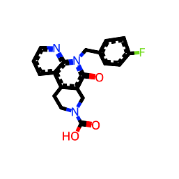 O=C(O)N1CCc2c(c(=O)n(Cc3ccc(F)cc3)c3ncccc23)C1